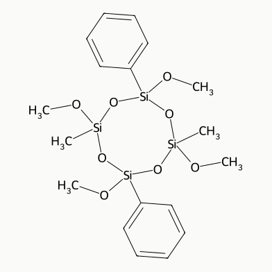 CO[Si]1(C)O[Si](OC)(c2ccccc2)O[Si](C)(OC)O[Si](OC)(c2ccccc2)O1